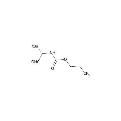 CC(C)(C)[C@@H](C=O)NC(=O)OCCC(F)(F)F